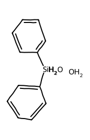 O.O.c1ccc([SiH2]c2ccccc2)cc1